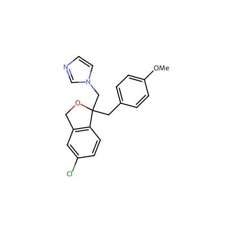 COc1ccc(CC2(Cn3ccnc3)OCc3cc(Cl)ccc32)cc1